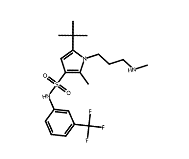 CNCCCn1c(C(C)(C)C)cc(S(=O)(=O)Nc2cccc(C(F)(F)F)c2)c1C